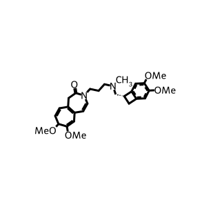 COC1=CC2=C(C=CC1OC)CC(=O)N(CCCN(C)C[C@H]1Cc3cc(OC)c(OC)cc31)C=C2